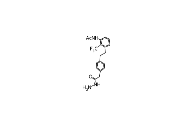 CC(=O)Nc1cccc(CCc2ccc(CC(=O)NN)cc2)c1C(F)(F)F